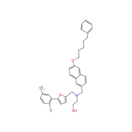 OCCN(Cc1ccc2cc(OCCCCCc3ccccc3)ccc2c1)Cc1ccc(-c2cc(C(F)(F)F)ccc2Cl)o1